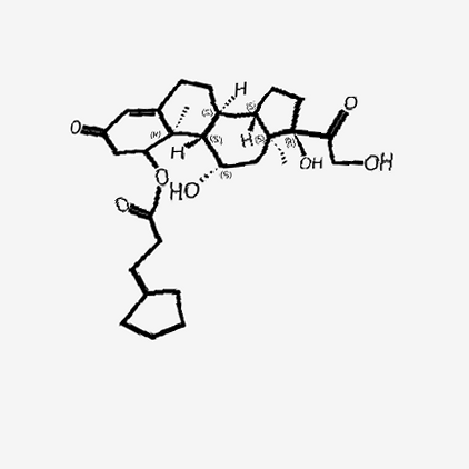 C[C@]12C[C@H](O)[C@H]3[C@@H](CCC4=CC(=O)CC(OC(=O)CCC5CCCC5)[C@@]43C)[C@@H]1CC[C@]2(O)C(=O)CO